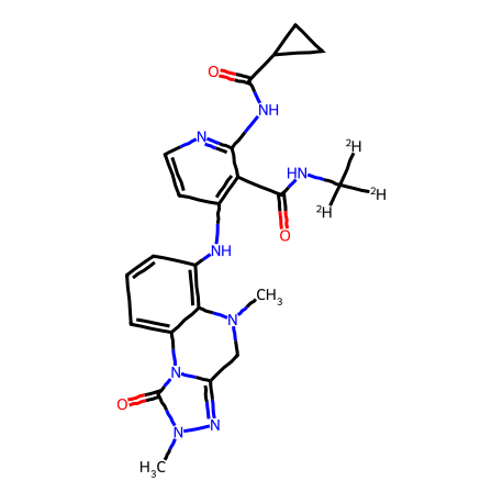 [2H]C([2H])([2H])NC(=O)c1c(Nc2cccc3c2N(C)Cc2nn(C)c(=O)n2-3)ccnc1NC(=O)C1CC1